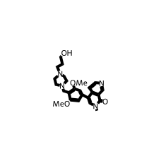 COc1cc(-c2cn(C)c(=O)c3cnccc23)cc(OC)c1CN1CCN(CCCO)CC1